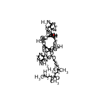 CNCCN(C)C(=O)CCC(C)(C)SSCCOC(=O)O[C@@H]1[C@@H]2O[P@](=O)(S)OC[C@H]3O[C@@H](n4cnc5c(N)ncnc54)[C@H](O[P@](=O)(S)OC[C@H]2O[C@H]1n1cnc2c(N)ncnc21)[C@@H]3O